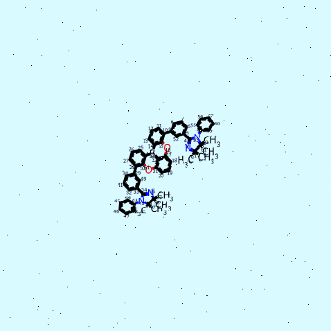 CC1(C)N=C(c2cccc(-c3cccc4c3Oc3cccc5c3B4c3cccc(-c4cccc(C6=NC(C)(C)C(C)(C)N6c6ccccc6)c4)c3O5)c2)N(c2ccccc2)C1(C)C